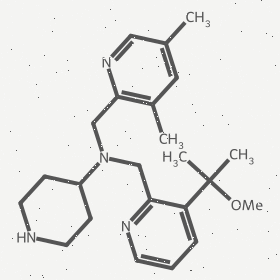 COC(C)(C)c1cccnc1CN(Cc1ncc(C)cc1C)C1CCNCC1